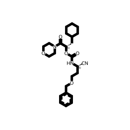 N#C[C@H](CCOCc1ccccc1)NC(=O)O[C@@H](CC1CCCCC1)C(=O)N1CCOCC1